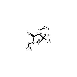 CCOC(=O)[C@H](CC)C(C)(C)C